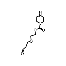 O=CCCOCCOC(=O)N1CCNCC1